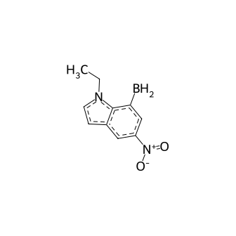 Bc1cc([N+](=O)[O-])cc2ccn(CC)c12